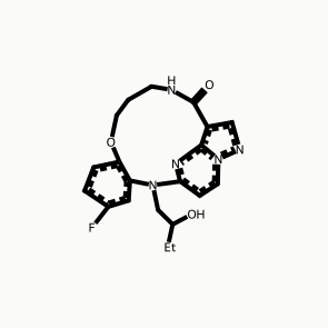 CCC(O)CN1c2ccn3ncc(c3n2)C(=O)NCCCOc2ccc(F)cc21